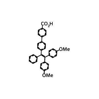 COc1ccc(C(=C(c2ccccc2)c2ccc(-c3ccc(C(=O)O)cc3)cc2)c2ccc(OC)cc2)cc1